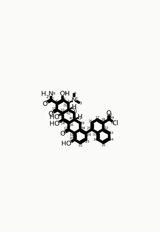 CN(C)[C@@H]1C(O)=C(C(N)=O)C(=O)[C@@]2(O)C(O)=C3C(=O)c4c(O)ccc(-c5ccc(C(=O)Cl)c6ccccc56)c4C[C@H]3C[C@@H]12